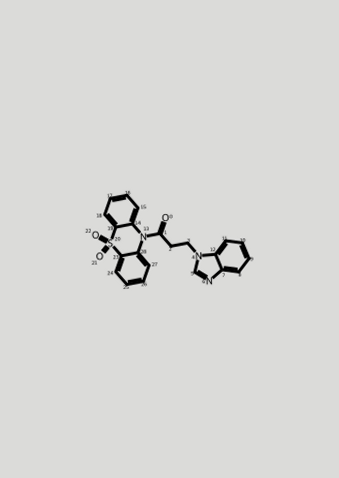 O=C(CCn1cnc2ccccc21)N1c2ccccc2S(=O)(=O)c2ccccc21